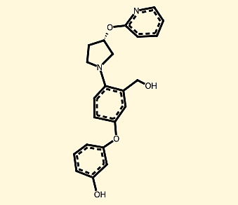 OCc1cc(Oc2cccc(O)c2)ccc1N1CC[C@H](Oc2ccccn2)C1